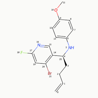 C=CCC[C@H](Nc1ccc(OC)cc1)c1cnc(F)cc1Br